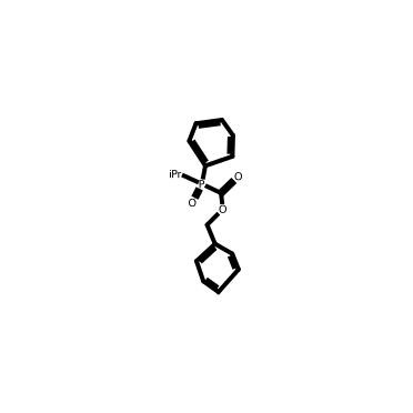 CC(C)P(=O)(C(=O)OCc1ccccc1)c1ccccc1